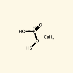 O=[PH](O)OS.[CaH2]